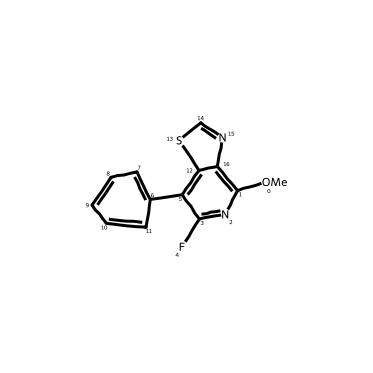 COc1nc(F)c(-c2ccccc2)c2scnc12